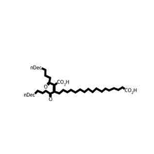 CCCCCCCCCCCCCC(=O)C(CCCCCCCCCCCCCCCCC(=O)O)=C(C(=O)O)C(=O)CCCCCCCCCCCCC